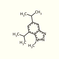 CC(C)c1cc(C(C)C)c2c(c1)nnn2C